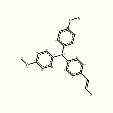 C/C=C/c1ccc(N(c2ccc(OC)cc2)c2ccc(OC)cc2)cc1